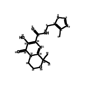 Cc1ncsc1CNC(=O)c1nc2n(c(=O)c1O)CCOC2(C)C